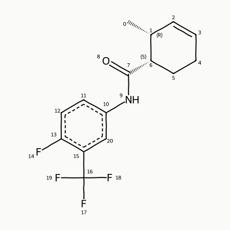 C[C@@H]1C=CCC[C@@H]1C(=O)Nc1ccc(F)c(C(F)(F)F)c1